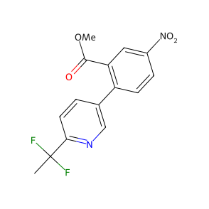 COC(=O)c1cc([N+](=O)[O-])ccc1-c1ccc(C(C)(F)F)nc1